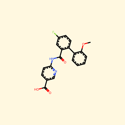 COc1ccccc1-c1ccc(F)cc1C(=O)Nc1ccc(C(=O)O)cn1